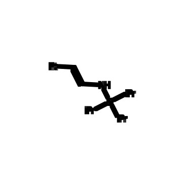 CCC=CN[Si](C(C)C)(C(C)C)C(C)C